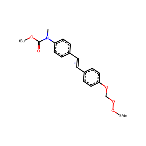 CSOOCOc1ccc(/C=C/c2ccc(N(C)C(=O)OC(C)(C)C)cc2)cc1